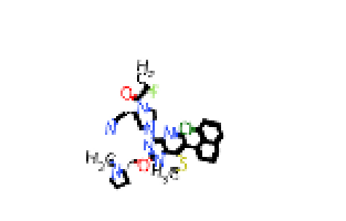 C=C(F)C(=O)N1CCN(c2nc(OC[C@@H]3CCCN3C)nc3c(SC)c(-c4cccc5cccc(Cl)c45)cnc23)C[C@@H]1CC#N